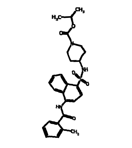 Cc1ccccc1C(=O)Nc1ccc(S(=O)(=O)NC2CCN(C(=O)OC(C)C)CC2)c2ccccc12